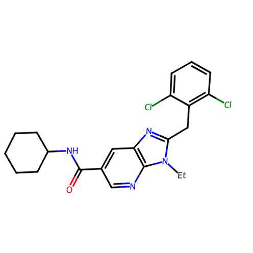 CCn1c(Cc2c(Cl)cccc2Cl)nc2cc(C(=O)NC3CCCCC3)cnc21